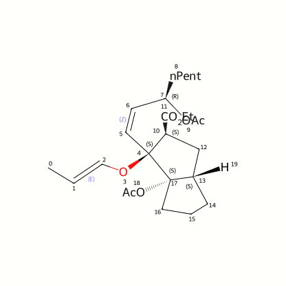 C/C=C/O[C@@]1(/C=C\[C@@H](CCCCC)OC(C)=O)[C@@H](C(=O)OCC)C[C@@H]2CCC[C@]21OC(C)=O